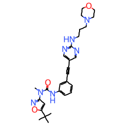 CN(C(=O)Nc1cccc(C#Cc2cnc(NCCCN3CCOCC3)nc2)c1)c1cc(C(C)(C)C)on1